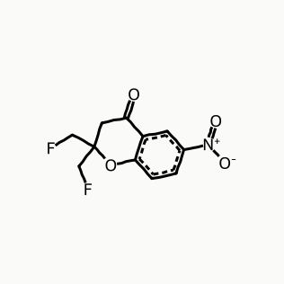 O=C1CC(CF)(CF)Oc2ccc([N+](=O)[O-])cc21